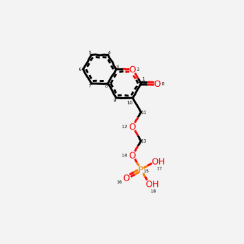 O=c1oc2ccccc2cc1COCOP(=O)(O)O